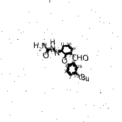 CC(C)(C)c1ccc(OC2=C(C=O)C=CCC2=NNC(N)=O)cc1